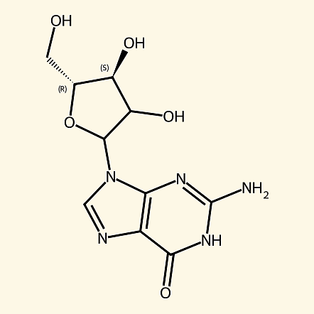 Nc1nc2c(ncn2C2O[C@H](CO)[C@@H](O)C2O)c(=O)[nH]1